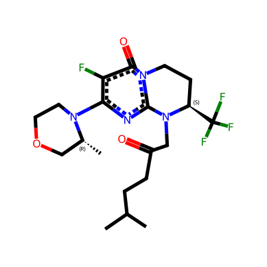 CC(C)CCC(=O)CN1c2nc(N3CCOC[C@H]3C)c(F)c(=O)n2CC[C@H]1C(F)(F)F